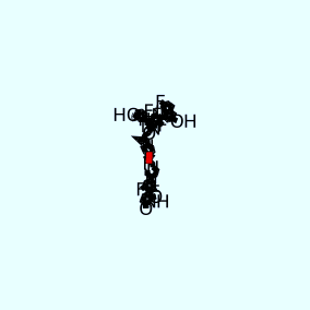 CCc1c(F)ccc2cc(O)cc(-c3ncc4c(N5CCC[C@@](C)(O)C5)nc(OCC5(CN6CCC7(CC6)CC(F)(CN6CCN(c8cc(F)c(C9CCC(=O)NC9=O)c(F)c8)CC6)C7)CC5)nc4c3F)c12